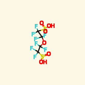 O=S(O)C(F)(F)C(F)(F)OC(F)(F)C(F)(F)S(=O)(=O)O